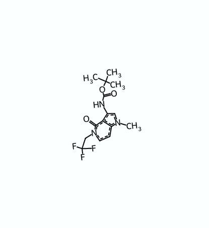 Cn1cc(NC(=O)OC(C)(C)C)c2c(=O)n(CC(F)(F)F)ccc21